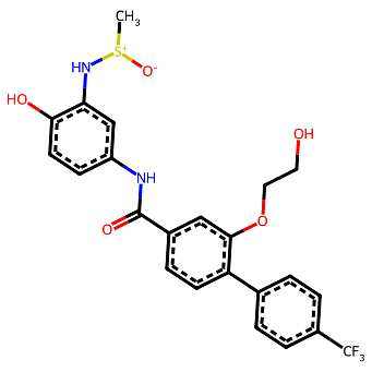 C[S+]([O-])Nc1cc(NC(=O)c2ccc(-c3ccc(C(F)(F)F)cc3)c(OCCO)c2)ccc1O